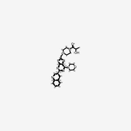 CC(O)C(=O)N1CCN(Cc2nc3c(N4CCOCC4)nc(-c4cnc5ccccc5c4)nc3s2)CC1